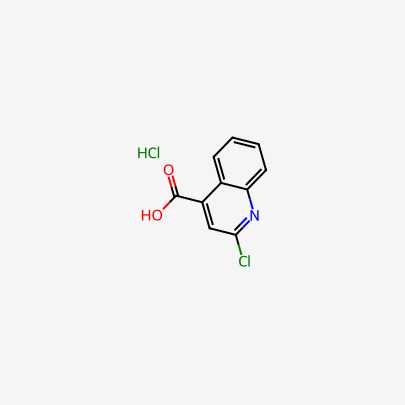 Cl.O=C(O)c1cc(Cl)nc2ccccc12